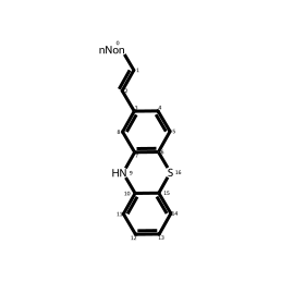 CCCCCCCCCC=Cc1ccc2c(c1)Nc1ccccc1S2